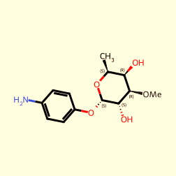 CO[C@H]1[C@H](O)[C@H](Oc2ccc(N)cc2)O[C@@H](C)[C@H]1O